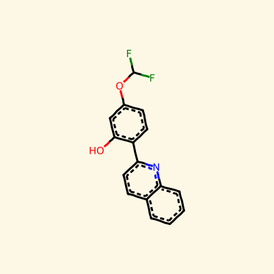 Oc1cc(OC(F)F)ccc1-c1ccc2ccccc2n1